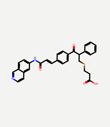 O=C(O)CCSCC(C(=O)c1ccc(/C=C/C(=O)Nc2ccc3cnccc3c2)cc1)c1ccccc1